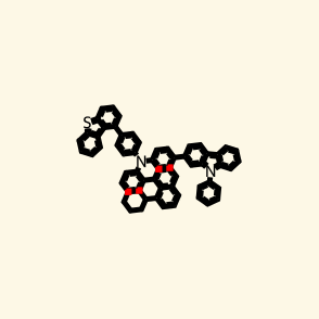 c1ccc(-n2c3ccccc3c3ccc(-c4ccc(N(c5ccc(-c6cccc7sc8ccccc8c67)cc5)c5ccccc5-c5cccc6cccc(C7CCCCC7)c56)cc4)cc32)cc1